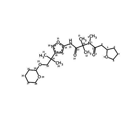 CN(C(=O)CC1CCCO1)C(C)(C)C(=O)Nc1cc(C(C)(C)COC2CCCCO2)no1